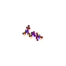 c1ccc(-c2ccc(-c3ccc4sc(-c5cc(-c6ccccc6-c6ccccc6)nc(-c6ccc7c(c6)sc6cccc(-c8ccc9cc(-c%10cc(-c%11ccc(-c%12c%13ccccc%13c(-c%13ccccc%13)c%13ccccc%12%13)cc%11)nc(-c%11ccc%12c(c%11)sc%11ccccc%11%12)n%10)sc9c8)c67)n5)cc4c3)c(-c3cc(-c4cc5ccccc5s4)nc(-c4ccc5c(c4)sc4ccccc45)n3)c2)cc1